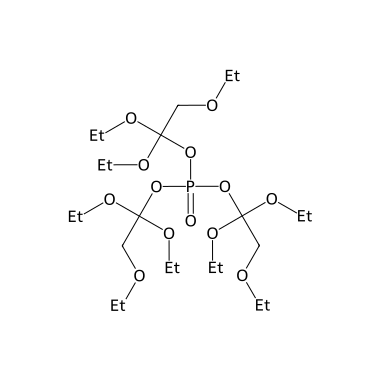 CCOCC(OCC)(OCC)OP(=O)(OC(COCC)(OCC)OCC)OC(COCC)(OCC)OCC